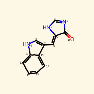 O=C1N=CNC1=Cc1c[nH]c2ccccc12